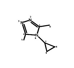 Cc1nnc(C)n1C1CC1